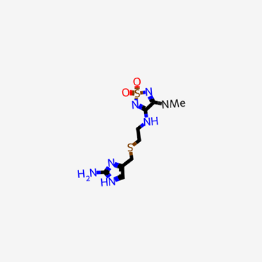 CNC1=NS(=O)(=O)N=C1NCCSCc1c[nH]c(N)n1